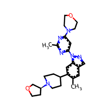 Cc1nc(N2CCOCC2)cc(-n2ncc3cc(C)c(C4CCN([C@H]5CCOC5)CC4)cc32)n1